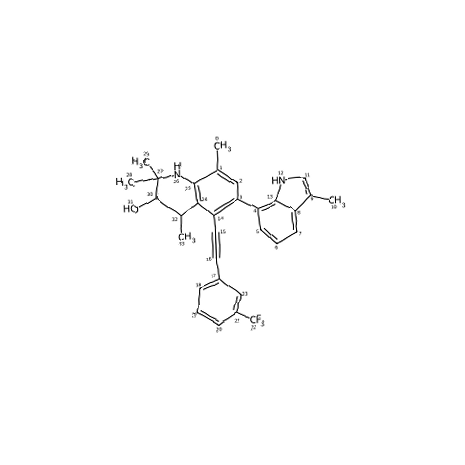 Cc1cc(-c2cccc3c(C)c[nH]c23)c(C#Cc2cccc(C(F)(F)F)c2)c2c1NC(C)(C)C(O)C2C